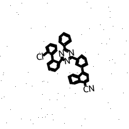 N#Cc1ccc(-c2cccc(-c3nc(-c4ccccc4)nc(-c4ccccc4-c4ccccc4Cl)n3)c2)c2ccccc12